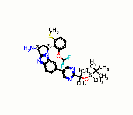 CSc1cccc(OC(F)F)c1[C@H]1C[C@H](N)c2nc3ccc(-c4cnc(C(C)(C)O[Si](C)(C)C(C)(C)C)nc4)cc3n21